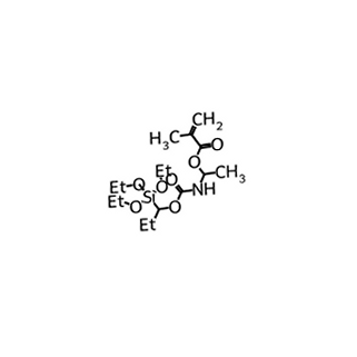 C=C(C)C(=O)OC(C)NC(=O)OC(CC)[Si](OCC)(OCC)OCC